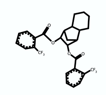 O=C(OC1C2CC(C3CCCCC32)C1OC(=O)c1ccccc1C(F)(F)F)c1ccccc1C(F)(F)F